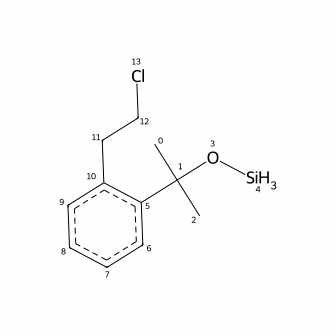 CC(C)(O[SiH3])c1ccccc1CCCl